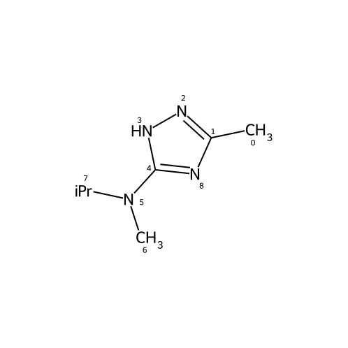 Cc1n[nH]c(N(C)C(C)C)n1